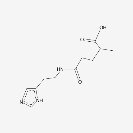 CC(CCC(=O)NCCc1cnc[nH]1)C(=O)O